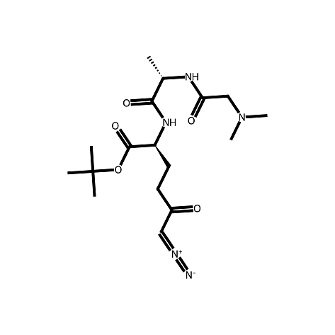 C[C@H](NC(=O)CN(C)C)C(=O)N[C@@H](CCC(=O)C=[N+]=[N-])C(=O)OC(C)(C)C